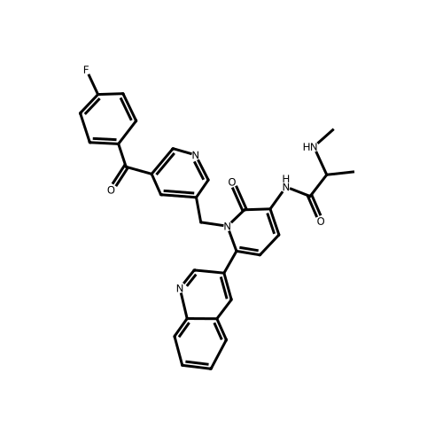 CNC(C)C(=O)Nc1ccc(-c2cnc3ccccc3c2)n(Cc2cncc(C(=O)c3ccc(F)cc3)c2)c1=O